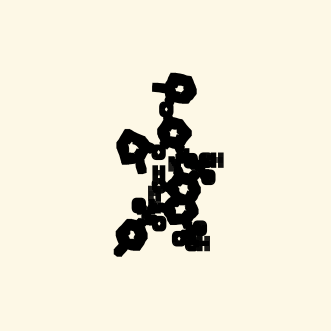 Cc1ccc(S(=O)(=O)Nc2cc(S(=O)(=O)O)cc3cc(S(=O)(=O)O)c(N=Nc4ccc(Oc5ccccc5C)cc4Oc4ccccc4C)c(O)c23)cc1